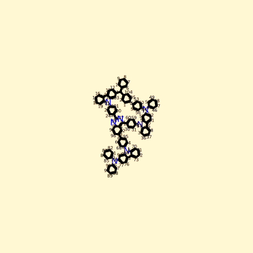 c1ccc(C(c2ccccc2)c2ccc3c4ccccc4n(-c4ccc(-c5nc(-c6ccc(-n7c8ccccc8c8ccc(N(c9ccccc9)c9ccccc9)cc87)cc6)c6cc(-c7ccc(-n8c9ccccc9c9ccc(N(c%10ccccc%10)c%10ccccc%10)cc98)cc7)ccc6n5)cc4)c3c2)cc1